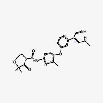 CN/C=C(\C=N)c1cc(Oc2ccc(NC(=O)N3CCOC(C)(C)C3=O)nc2C)ccn1